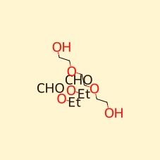 CCOC=O.CCOC=O.OCCOCCOCCO